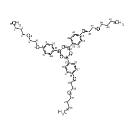 CCCCOCCOc1ccc(B2OB(c3ccc(OCCOCCCC)cc3)OB(c3ccc(OCCOCCCC)cc3)O2)cc1